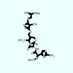 CNC(=N)CSc1nsc(SCC2=C(C(=O)O)N3C(=O)[C@@H](NC(=O)/C(=N\OC)c4csc(N)n4)[C@@H]3SC2)c1C#N